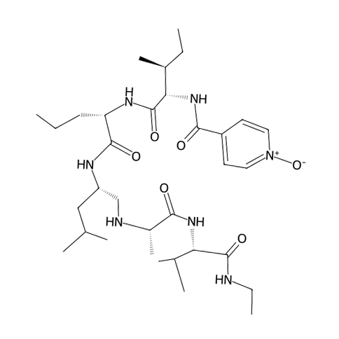 CCC[C@H](NC(=O)[C@@H](NC(=O)c1cc[n+]([O-])cc1)[C@@H](C)CC)C(=O)N[C@H](CN[C@@H](C)C(=O)N[C@H](C(=O)NCC)C(C)C)CC(C)C